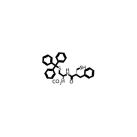 O=C(N[C@H](CSC(c1ccccc1)(c1ccccc1)c1ccccc1)C(=O)O)[C@H](CS)Cc1ccccc1